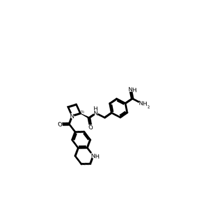 N=C(N)c1ccc(CNC(=O)[C@@H]2CCN2C(=O)c2ccc3c(c2)CCCN3)cc1